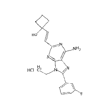 CCn1c(-c2cccc(F)c2)nc2c(N)nc(C=CC3(O)CCC3)nc21.Cl